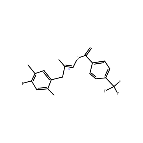 C=C(S/C=C(\C)Cc1cc(C)c(I)cc1C)c1ccc(C(F)(F)F)cc1